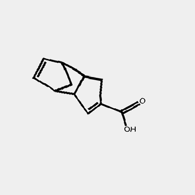 O=C(O)C1=CC2C3C=CC(C3)C2C1